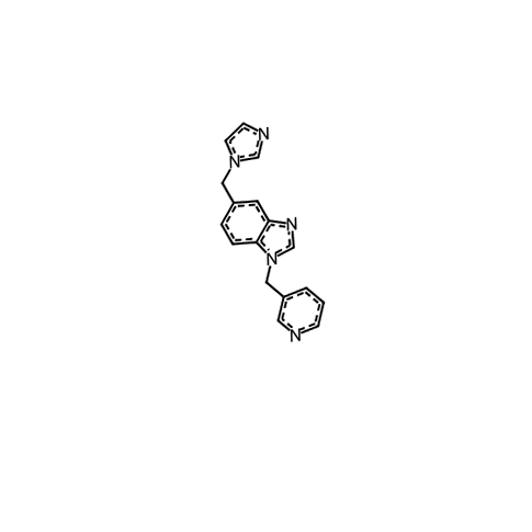 c1cncc(Cn2cnc3cc(Cn4ccnc4)ccc32)c1